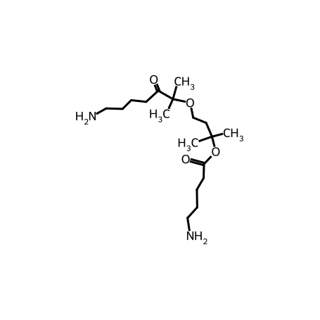 CC(C)(CCOC(C)(C)C(=O)CCCCN)OC(=O)CCCCN